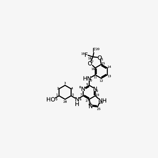 OC1CCCC(Nc2nc(Nc3cccc4c3OC(F)(F)O4)nc3[nH]cnc23)C1